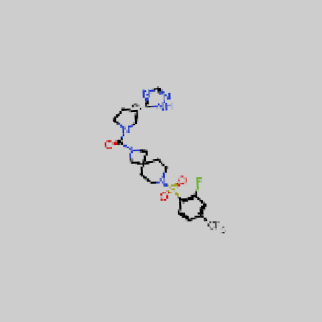 O=C(N1CC[C@H](c2ncn[nH]2)C1)N1CC2(CCN(S(=O)(=O)c3ccc(C(F)(F)F)cc3F)CC2)C1